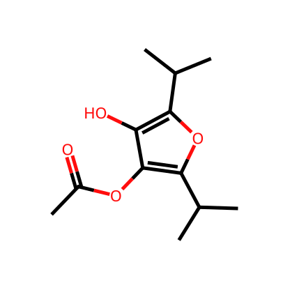 CC(=O)Oc1c(C(C)C)oc(C(C)C)c1O